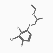 CCOC(C)CSc1ccc(F)c(Cl)c1F